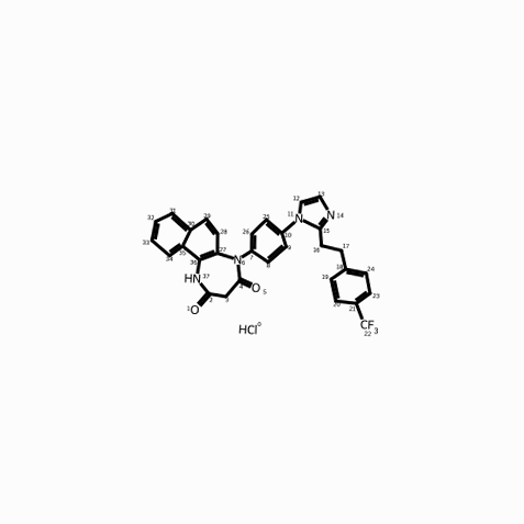 Cl.O=C1CC(=O)N(c2ccc(-n3ccnc3CCc3ccc(C(F)(F)F)cc3)cc2)c2ccc3ccccc3c2N1